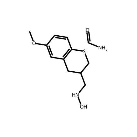 COc1ccc2c(c1)CC(CNO)CS2.NC=O